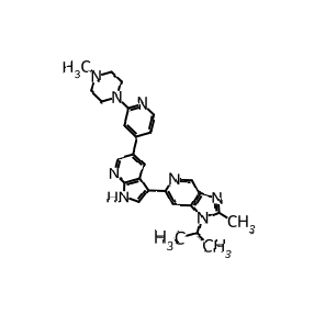 Cc1nc2cnc(-c3c[nH]c4ncc(-c5ccnc(N6CCN(C)CC6)c5)cc34)cc2n1C(C)C